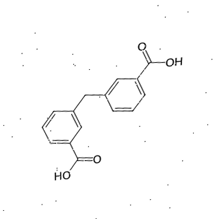 O=C(O)c1cccc(Cc2cccc(C(=O)O)c2)c1